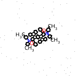 Cc1ccc(N(c2ccc(C)cc2)c2cc3c(c4c2oc2ccccc24)-c2cc4c(cc2C32c3ccccc3-c3ccccc32)-c2c(cc(N(c3ccc(C)cc3)c3ccc(C)cc3)c3oc5ccccc5c23)C42c3ccccc3-c3ccccc32)cc1